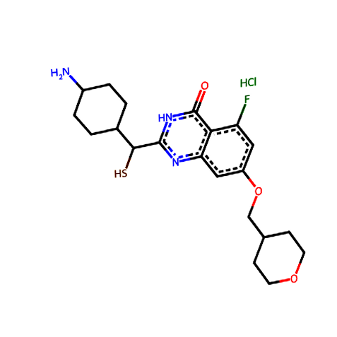 Cl.NC1CCC(C(S)c2nc3cc(OCC4CCOCC4)cc(F)c3c(=O)[nH]2)CC1